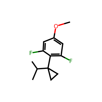 COc1cc(F)c(C2(C(C)C)CC2)c(F)c1